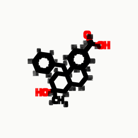 CC1(O)CCC2(Cc3ccccc3)c3ccc(C(=O)O)cc3CCC2C1